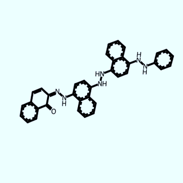 O=C1/C(=N\Nc2ccc(NNc3ccc(NNc4ccccc4)c4ccccc34)c3ccccc23)C=Cc2ccccc21